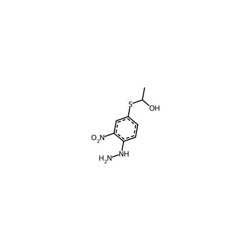 CC(O)Sc1ccc(NN)c([N+](=O)[O-])c1